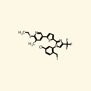 CCSc1ncc(-c2ccc(-c3nc(C(F)(F)F)cn3-c3cc(Cl)ccc3CI)s2)cc1C